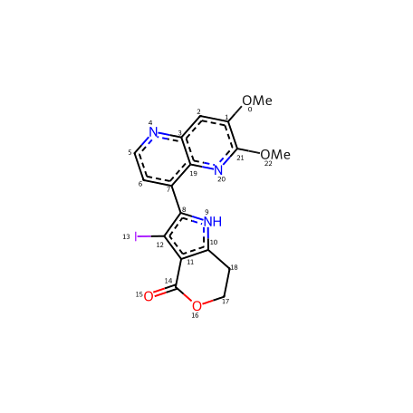 COc1cc2nccc(-c3[nH]c4c(c3I)C(=O)OCC4)c2nc1OC